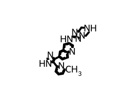 Cc1cccc(-c2[nH]cnc2-c2ccc3ncc(Nc4nc5n(n4)CCNC5)cc3c2)n1